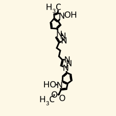 COC(=O)c1cc2ccc(-n3cc(CCCc4cn(-c5ccc6cc(C)n(O)c6c5)nn4)nn3)cc2n1O